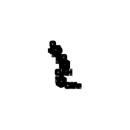 COc1ccnc(C(=O)Nc2ccc3oc(-c4ccc(=O)n(C)n4)nc3c2)c1